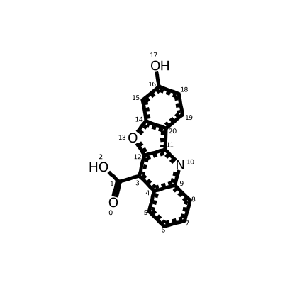 O=C(O)c1c2ccccc2nc2c1oc1cc(O)ccc12